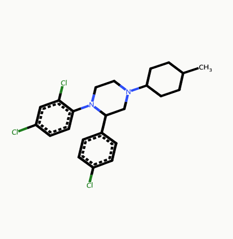 CC1CCC(N2CCN(c3ccc(Cl)cc3Cl)C(c3ccc(Cl)cc3)C2)CC1